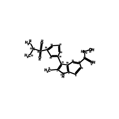 Cc1[nH]c2ccc(C(=N)NO)cc2c1-c1cccc(S(=O)(=O)N(C)C)c1